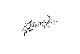 FC(F)(F)c1cccc(OCc2ccc(C3CCC3)cc2)c1